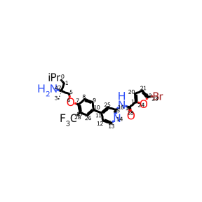 CC(C)C[C@](C)(N)COc1ccc(-c2ccnc(NC(=O)c3ccc(Br)o3)c2)cc1C(F)(F)F